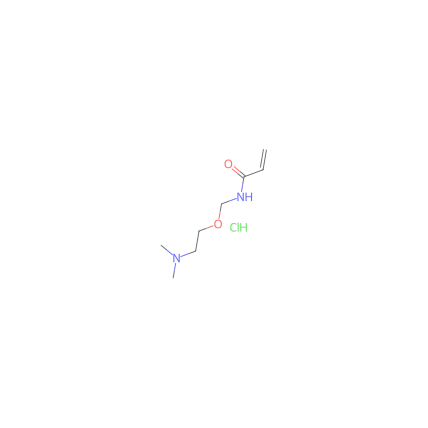 C=CC(=O)NCOCCN(C)C.Cl